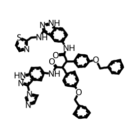 O=C(Nc1ccc2[nH]nc(NCc3nccs3)c2c1)C(c1ccc(OCc2ccccc2)cc1)C(C(=O)Nc1ccc2[nH]nc(-n3ccnc3)c2c1)c1ccc(OCc2ccccc2)cc1